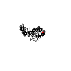 O=C(O)COc1c(C(=O)O)sc(-c2cccc(NC3CCN(S(=O)(=O)Cc4cccc(NC(=O)N5CCC(Nc6cccc7c6CN(C6CCC(=O)NC6=O)C7=O)CC5)c4)CC3)c2)c1Cl